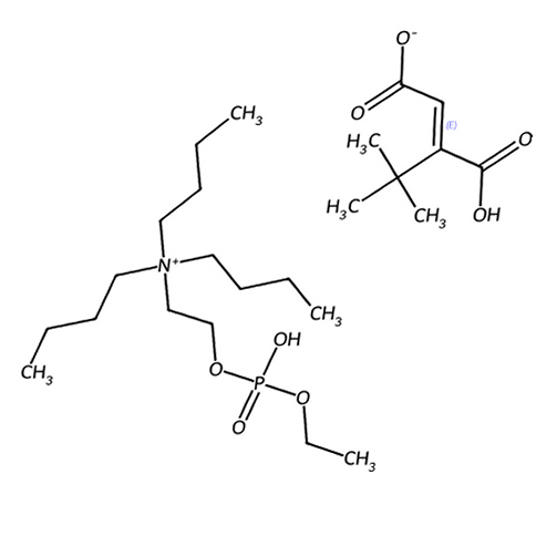 CC(C)(C)/C(=C\C(=O)[O-])C(=O)O.CCCC[N+](CCCC)(CCCC)CCOP(=O)(O)OCC